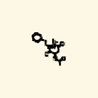 CC(=O)/N=C(\CC(N)=O)C(=O)NCCc1ccccc1